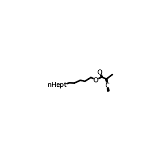 C=C=C(C)C(=O)OCCCCCCCCCCCC